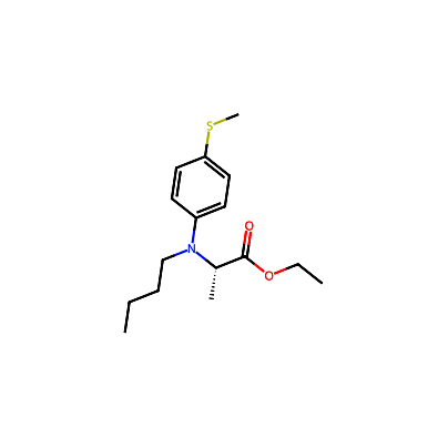 CCCCN(c1ccc(SC)cc1)[C@@H](C)C(=O)OCC